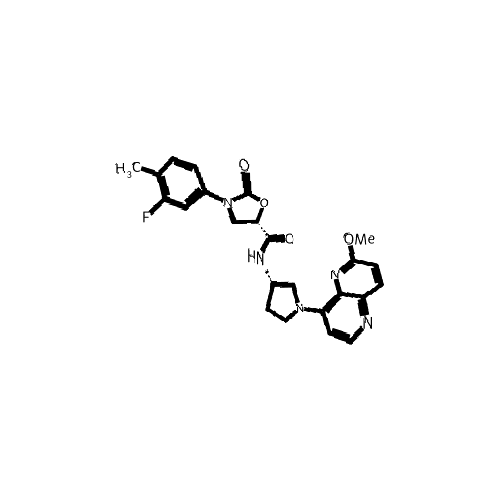 COc1ccc2nccc(N3CC[C@H](NC(=O)[C@@H]4CN(c5ccc(C)c(F)c5)C(=O)O4)C3)c2n1